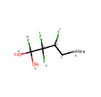 CCCCCCCC(F)C(F)(F)C(O)(O)F